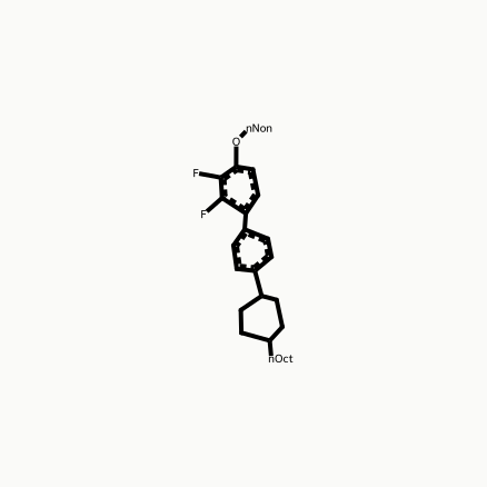 CCCCCCCCCOc1ccc(-c2ccc(C3CCC(CCCCCCCC)CC3)cc2)c(F)c1F